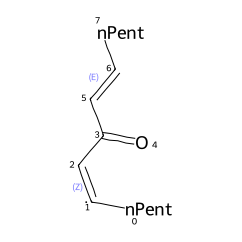 CCCCC/[C]=C\C(=O)/C=C/CCCCC